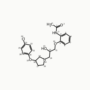 CC(=O)Nc1ccccc1OCC(O)CN1CCC(Oc2ccc(Cl)cn2)C1